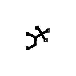 Cl[Si](Cl)(Cl)C(Br)CBr